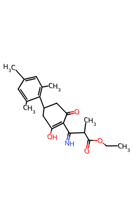 CCOC(=O)C(C)C(=N)C1=C(O)CC(c2c(C)cc(C)cc2C)CC1=O